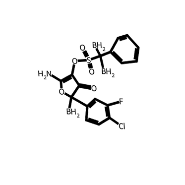 BC1(c2ccc(Cl)c(F)c2)OC(N)=C(OS(=O)(=O)C(B)(B)c2ccccc2)C1=O